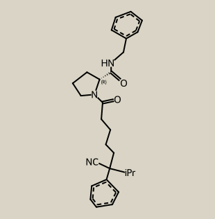 CC(C)C(C#N)(CCCCC(=O)N1CCC[C@@H]1C(=O)NCc1ccccc1)c1ccccc1